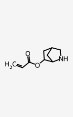 C=CC(=O)OC1CC2CNC1C2